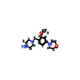 C[C@@H]1CN(Cc2ccc(N3CCOCC3)cc2OC(F)(F)F)CCN1